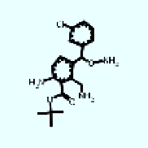 CC(C)(C)OC(=O)c1c(N)ccc(C(ON)c2cccc(Cl)c2)c1CN